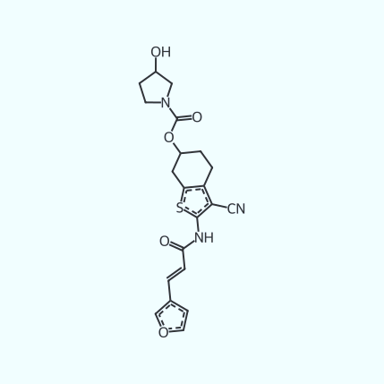 N#Cc1c(NC(=O)C=Cc2ccoc2)sc2c1CCC(OC(=O)N1CCC(O)C1)C2